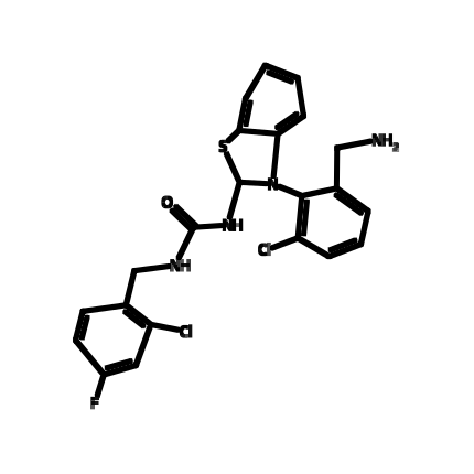 NCc1cccc(Cl)c1N1c2ccccc2SC1NC(=O)NCc1ccc(F)cc1Cl